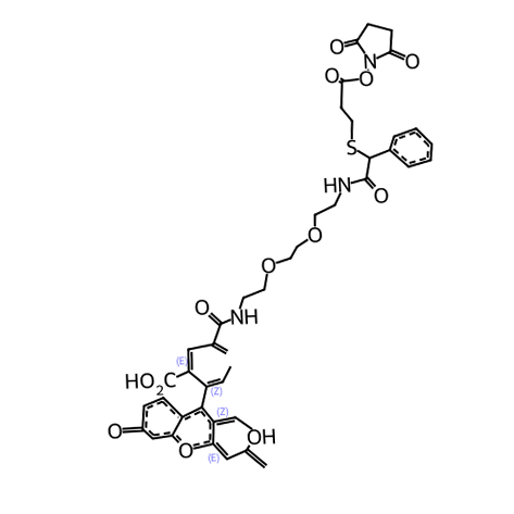 C=C(O)/C=c1/oc2cc(=O)ccc-2c(C(=C/C)/C(=C\C(=C)C(=O)NCCOCCOCCNC(=O)C(SCCC(=O)ON2C(=O)CCC2=O)c2ccccc2)C(=O)O)/c1=C/C